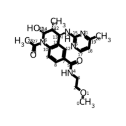 COCCNC(=O)c1ccc2c(c1)[C@H](Nc1nccc(C)n1)[C@@H](C)[C@H](O)N2C(C)=O